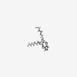 CCCCCCCCOCC1(COCCCCCCCC)COc2[c]s[c]c2OC1